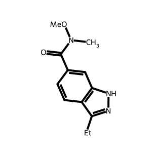 CCc1n[nH]c2cc(C(=O)N(C)OC)ccc12